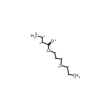 CCCOCCCOC(=O)CCC